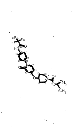 CC(C)OC(=O)N1CCC(Oc2ccn(-c3ccc(NC(=O)C(F)(F)F)cc3)c(=O)c2)CC1